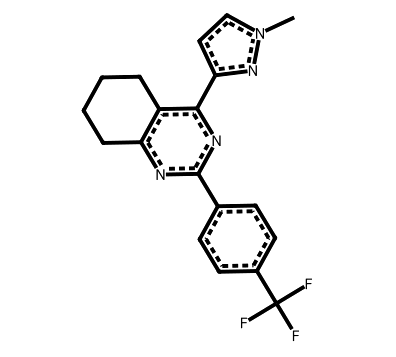 Cn1ccc(-c2nc(-c3ccc(C(F)(F)F)cc3)nc3c2CCCC3)n1